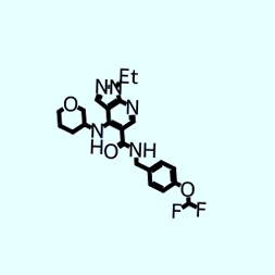 CCn1ncc2c(NC3CCCOC3)c(C(=O)NCc3ccc(OC(F)F)cc3)cnc21